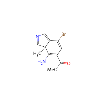 COC(=O)C1=C(N)C2(C)C=NC=C2C(Br)=C1